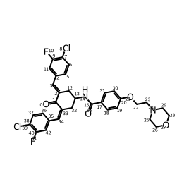 O=C1C(=Cc2ccc(Cl)c(F)c2)CC(NC(=O)c2ccc(OCCN3CCOCC3)cc2)CC1=Cc1ccc(Cl)c(F)c1